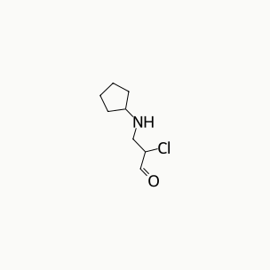 O=CC(Cl)CNC1CCCC1